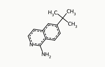 CC(C)(C)c1ccc2c(N)nccc2c1